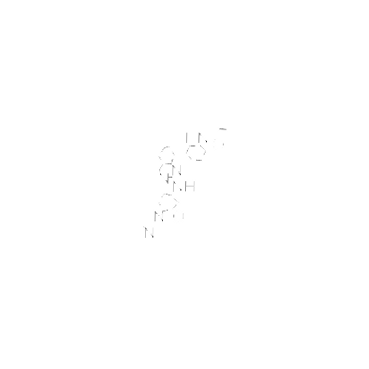 C=CC(=O)Nc1cccc(-c2cccc3cnc(Nc4ccc(N5CCN(C)CC5)c(OC)c4)nc23)c1